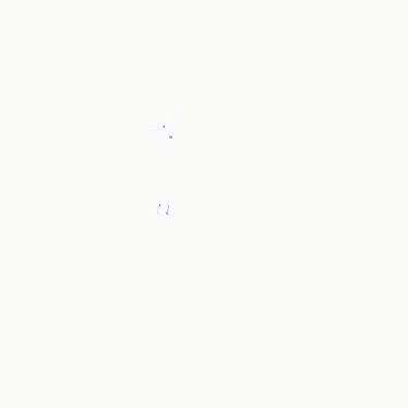 [c]1ccc2cc3c(nc2c1)NC=CC=C3